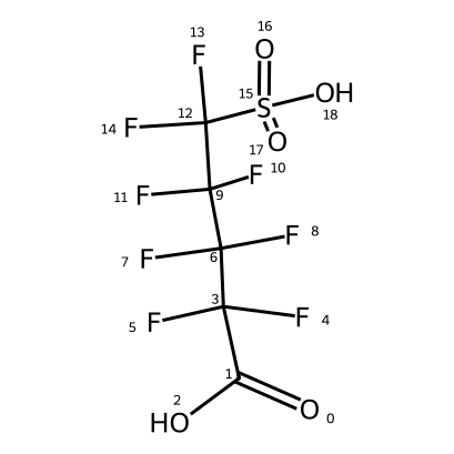 O=C(O)C(F)(F)C(F)(F)C(F)(F)C(F)(F)S(=O)(=O)O